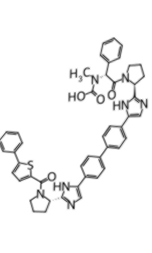 CN(C(=O)O)[C@@H](C(=O)N1CCC[C@H]1c1ncc(-c2ccc(-c3ccc(-c4cnc([C@@H]5CCCN5C(=O)c5ccc(-c6ccccc6)s5)[nH]4)cc3)cc2)[nH]1)c1ccccc1